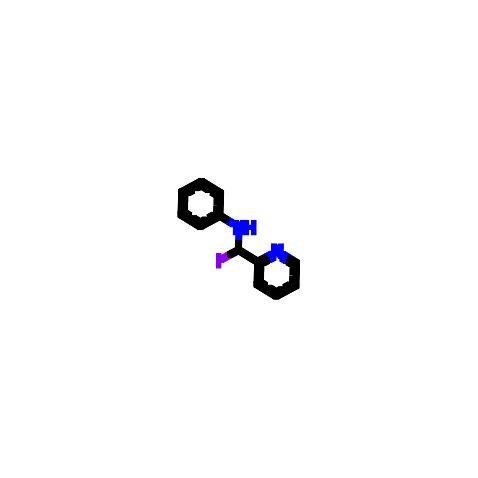 IC(Nc1ccccc1)c1ccccn1